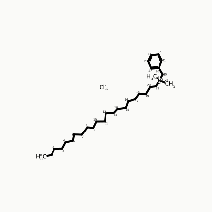 CCCCCCCCCCCCCCCCCCCCCC[N+](C)(C)Cc1ccccc1.[Cl-]